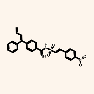 C=C/C=C(\c1ccccc1)c1ccc(C(=N)NS(=O)(=O)/C=C/c2ccc([N+](=O)[O-])cc2)cc1